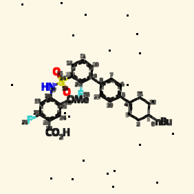 CCCCC1CC=C(c2ccc(-c3cccc(S(=O)(=O)Nc4cc(F)c(C(=O)O)cc4OC)c3F)cc2)CC1